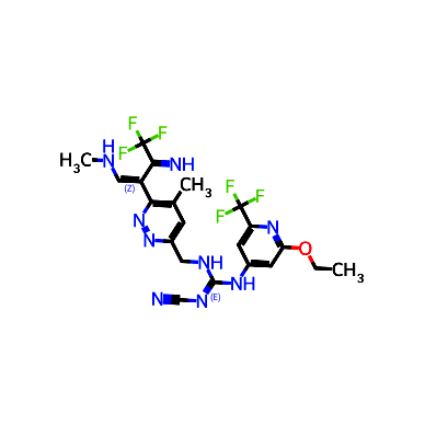 CCOc1cc(N/C(=N/C#N)NCc2cc(C)c(/C(=C/NC)C(=N)C(F)(F)F)nn2)cc(C(F)(F)F)n1